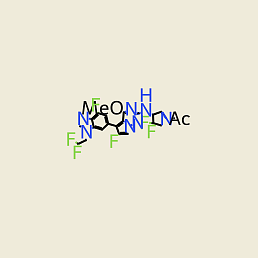 COc1nc(N[C@@H]2CN(C(C)=O)CC2(F)F)nn2cc(F)c(-c3cc(F)c4ncn(CC(F)F)c4c3)c12